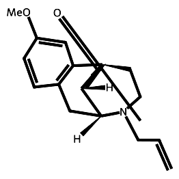 C=CCN1CC[C@]23CC(=O)CC[C@H]2[C@H]1Cc1ccc(OC)cc13